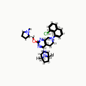 CN1CCC[C@H]1COc1nc2c(c([C@H]3C[C@H]4CC[C@@H](C3)N4)n1)CCN(c1cccc3cccc(Cl)c13)C2